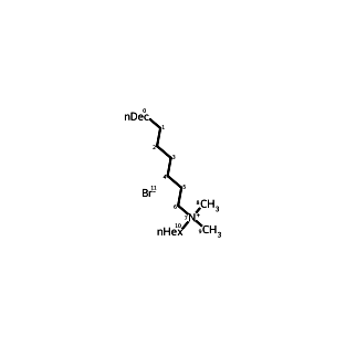 CCCCCCCCCCCCCCCC[N+](C)(C)CCCCCC.[Br-]